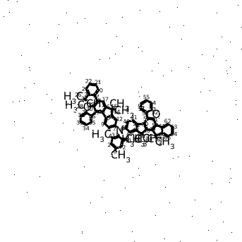 Cc1cc(C)c(N(c2ccc3c(c2)C(C)(C)c2cc(-c4ccccc4C(C)(C)C)c4oc5ccccc5c4c2-3)c2ccc3c(c2)C(C)(C)c2c4c(c5oc6ccccc6c5c2-3)-c2ccccc2C4(C)C)c(C)c1